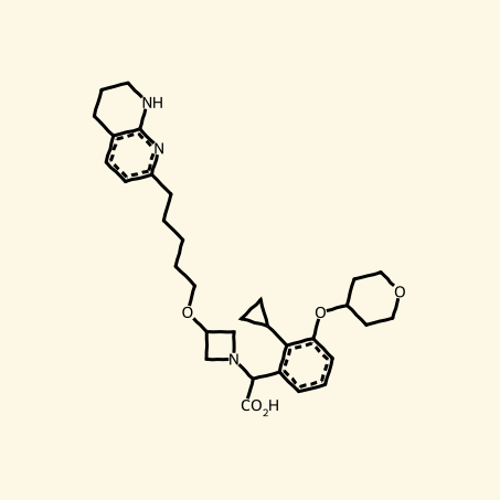 O=C(O)C(c1cccc(OC2CCOCC2)c1C1CC1)N1CC(OCCCCCc2ccc3c(n2)NCCC3)C1